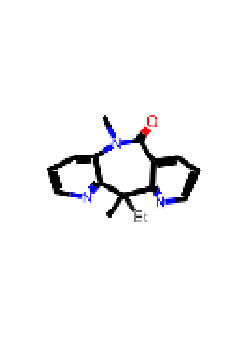 CCC1(C)c2ncccc2C(=O)N(C)c2cccnc21